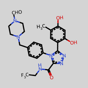 Cc1cc(-c2nnc(C(=O)NCC(F)(F)F)n2-c2ccc(CN3CCN(C=O)CC3)cc2)c(O)cc1O